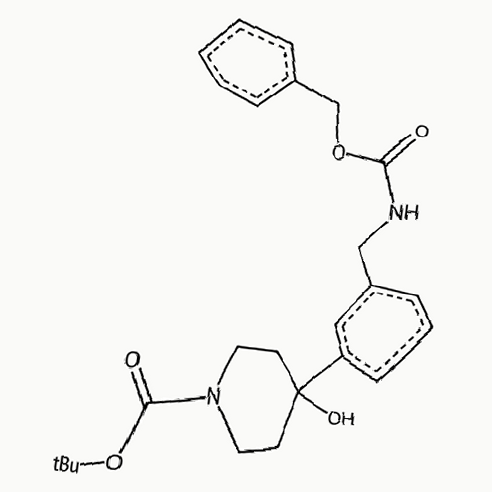 CC(C)(C)OC(=O)N1CCC(O)(c2cccc(CNC(=O)OCc3ccccc3)c2)CC1